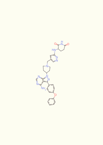 Nc1ncnc2c1c(-c1ccc(Oc3ccccc3)cc1)nn2C1CCN(Cc2cnnc(NC3CCC(=O)NC3=O)c2)CC1